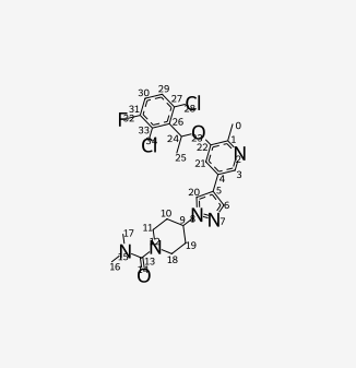 Cc1ncc(-c2cnn(C3CCN(C(=O)N(C)C)CC3)c2)cc1OC(C)c1c(Cl)ccc(F)c1Cl